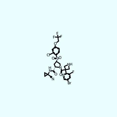 N#CC1(NC(=O)[C@@H]2C[C@@H](S(=O)(=O)c3ccc(OCC(F)(F)F)cc3Cl)CN2C(=O)C2(c3ncc(Br)cc3F)CNC2)CC1